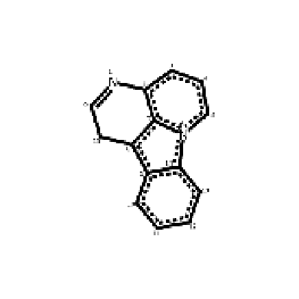 C1=Nc2cccn3c2c(c2ccccc23)C1